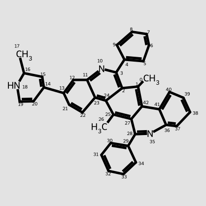 Cc1c2c(-c3ccccc3)nc3cc(C4=CC(C)NC=C4)ccc3c2c(C)c2c(-c3ccccc3)nc3ccccc3c12